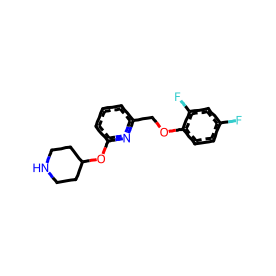 Fc1ccc(OCc2cccc(OC3CCNCC3)n2)c(F)c1